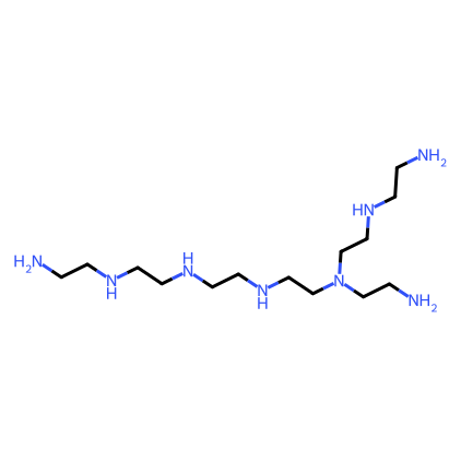 NCCNCCNCCNCCN(CCN)CCNCCN